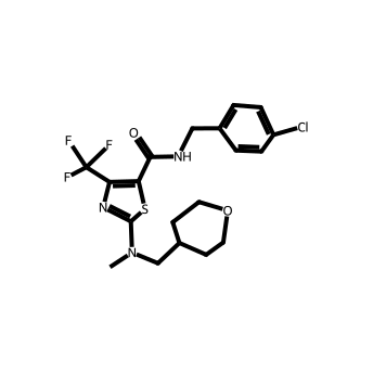 CN(CC1CCOCC1)c1nc(C(F)(F)F)c(C(=O)NCc2ccc(Cl)cc2)s1